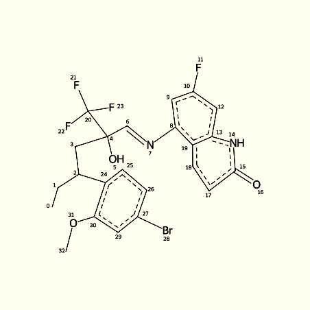 CCC(CC(O)(/C=N/c1cc(F)cc2[nH]c(=O)ccc12)C(F)(F)F)c1ccc(Br)cc1OC